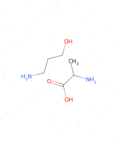 CC(N)C(=O)O.NCCCO